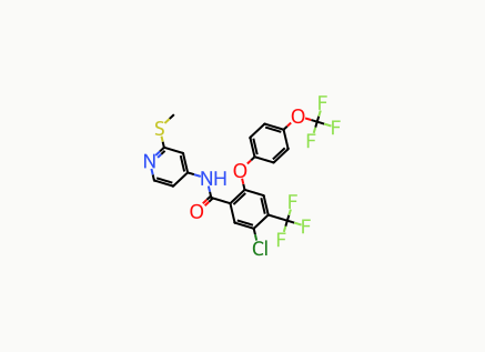 CSc1cc(NC(=O)c2cc(Cl)c(C(F)(F)F)cc2Oc2ccc(OC(F)(F)F)cc2)ccn1